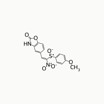 COc1ccc([S+]([O-])/C(=C\c2ccc3oc(=O)[nH]c3c2)[N+](=O)[O-])cc1